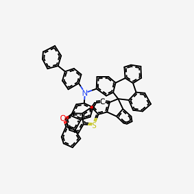 c1ccc(-c2ccc(N(c3ccc4c(c3)C3(c5ccccc5-c5ccccc5-4)c4ccccc4-c4c3ccc3c4sc4ccccc43)c3ccc4c(c3)oc3ccccc34)cc2)cc1